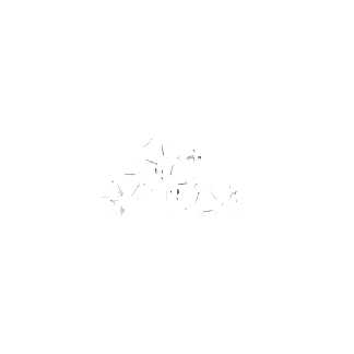 COC(=O)c1ccc(C(C)NC(=O)c2c(C#N)c3ccccc3n2Cc2cccc(C(F)(F)F)c2)cc1